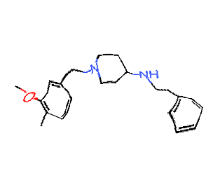 COc1cc(CN2CCC(NCCc3ccccc3)CC2)ccc1C